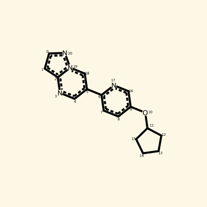 c1cc2ncc(-c3ccc(OC4CCCC4)cn3)cn2n1